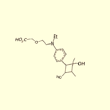 CCN(CCOCC(=O)O)c1ccc(C2C(O)C(C)C2(C)O)cc1